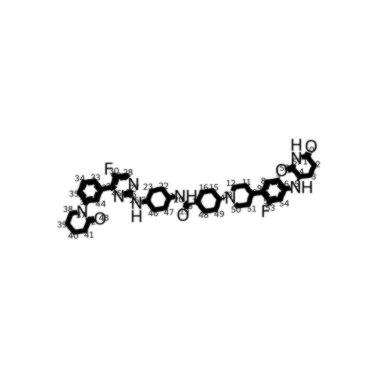 O=C1CC[C@@H](Nc2ccc(C3CCN([C@H]4CC[C@H](C(=O)NC5CCC(Nc6ncc(F)c(-c7cccc(N8CCCCC8=O)c7)n6)CC5)CC4)CC3)c(F)c2)C(=O)N1